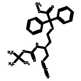 COC(=O)C(SCC[C@@H](CN=[N+]=[N-])NC(=O)OC(C)(C)C)(c1ccccc1)c1ccccc1